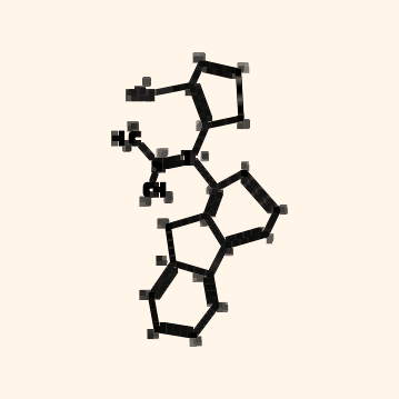 CCCCC1=[C]([Ti]([c]2cccc3c2Cc2ccccc2-3)=[Si](C)C)CC=C1